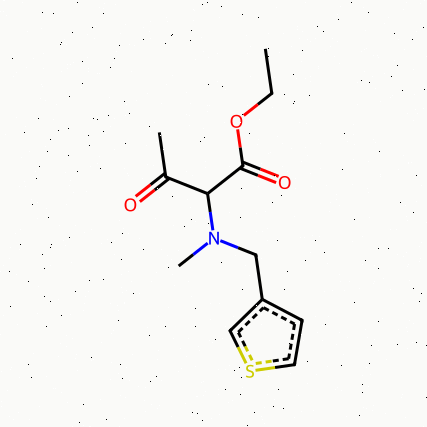 CCOC(=O)C(C(C)=O)N(C)Cc1ccsc1